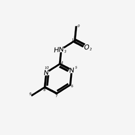 CC(=O)Nc1nccc(C)n1